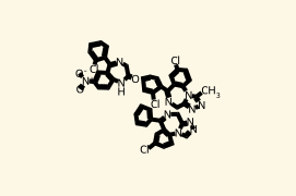 Cc1nnc2n1-c1ccc(Cl)cc1C(c1ccccc1Cl)=NC2.Clc1ccc2c(c1)C(c1ccccc1)=NCc1nncn1-2.O=C1CN=C(c2ccccc2Cl)c2cc([N+](=O)[O-])ccc2N1